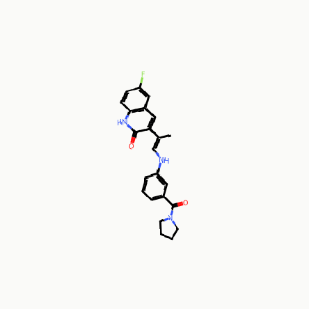 C/C(=C\Nc1cccc(C(=O)N2CCCC2)c1)c1cc2cc(F)ccc2[nH]c1=O